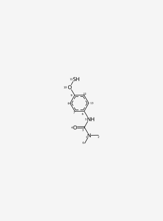 CN(C)C(=O)Nc1ccc(OS)cc1